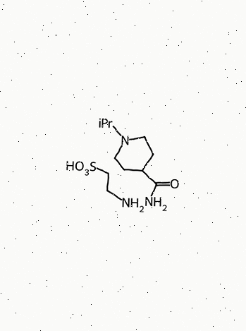 CC(C)N1CCC(C(N)=O)CC1.NCCS(=O)(=O)O